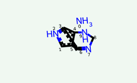 N.c1[nH]c2c3c1c2=NCN3